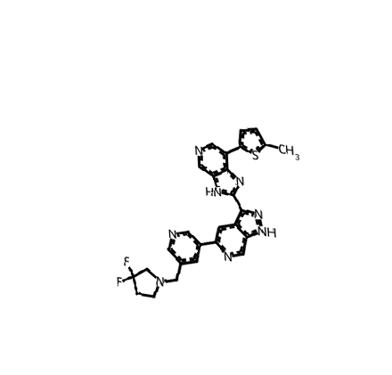 Cc1ccc(-c2cncc3[nH]c(-c4n[nH]c5cnc(-c6cncc(CN7CCC(F)(F)C7)c6)cc45)nc23)s1